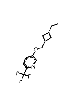 CC[C@H]1C[C@@H](COc2ccc(C(F)(F)F)nc2)C1